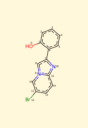 Oc1ccccc1-c1cn2cc(Br)ccc2n1